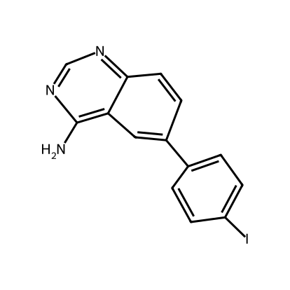 Nc1ncnc2ccc(-c3ccc(I)cc3)cc12